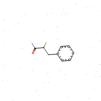 NC(=O)C(Cl)Cc1ccccc1